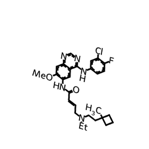 CCN(C/C=C/C(=O)Nc1cc2c(Nc3ccc(F)c(Cl)c3)ncnc2cc1OC)CCC1(C)CCC1